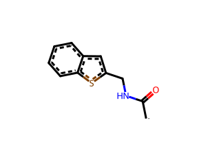 [CH2]C(=O)NCc1cc2ccccc2s1